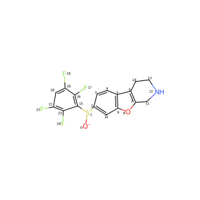 [O-][S+](c1ccc2c3c(oc2c1)CNCC3)c1c(F)c(F)cc(F)c1F